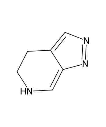 C1=C2CCNC=C2N=N1